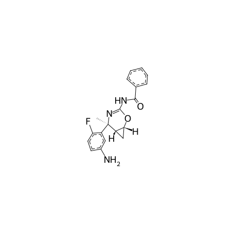 C[C@]1(c2cc(N)ccc2F)N=C(NC(=O)c2ccccc2)O[C@@H]2C[C@@H]21